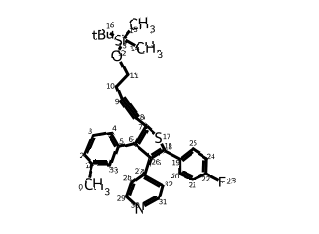 Cc1cccc(-c2c(C#CCCO[Si](C)(C)C(C)(C)C)sc(-c3ccc(F)cc3)c2-c2ccncc2)c1